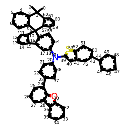 CC1(C)c2ccccc2C2(c3ccccc3-c3cc(N(c4ccc(-c5cccc6c5oc5ccccc56)cc4)c4cc5cc(-c6ccccc6)ccc5s4)ccc32)c2ccccc21